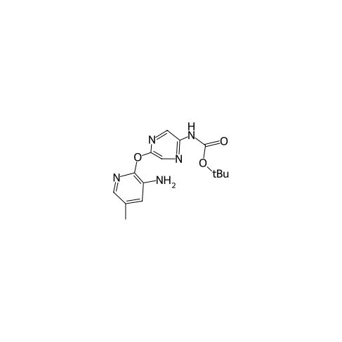 Cc1cnc(Oc2cnc(NC(=O)OC(C)(C)C)cn2)c(N)c1